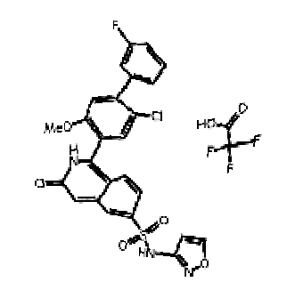 COc1cc(-c2cccc(F)c2)c(Cl)cc1-c1[nH]c(=O)cc2cc(S(=O)(=O)Nc3ccon3)ccc12.O=C(O)C(F)(F)F